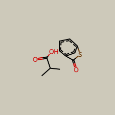 CC(C)C(=O)O.O=C1Sc2cccc1c2